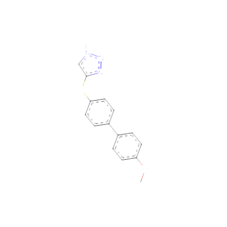 COc1ccc(-c2ccc(Sc3c[nH]nn3)cc2)cc1